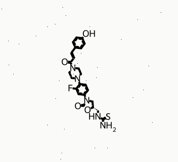 NC(=S)NC[C@H]1CN(c2ccc(N3CCN(C(=O)C=Cc4ccc(O)cc4)CC3)c(F)c2)C(=O)O1